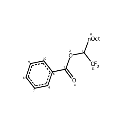 CCCCCCCCC(OC(=O)c1cc[c]cc1)C(F)(F)F